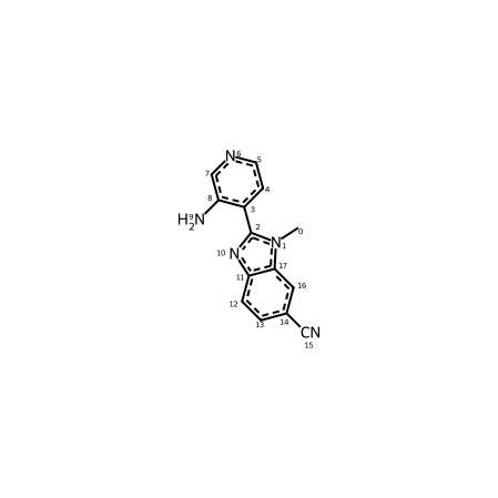 Cn1c(-c2ccncc2N)nc2ccc(C#N)cc21